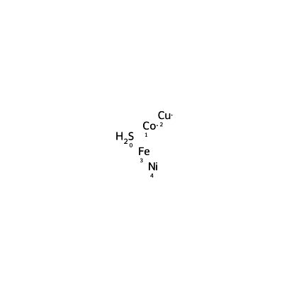 S.[Co].[Cu].[Fe].[Ni]